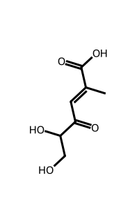 C/C(=C\C(=O)C(O)CO)C(=O)O